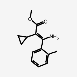 COC(=O)/C(=C(\N)c1ccccc1C)C1CC1